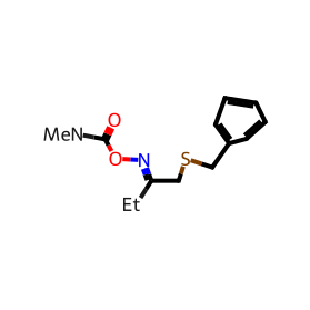 CCC(CSCc1ccccc1)=NOC(=O)NC